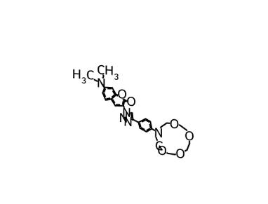 CCN(CC)c1ccc2cc(-n3cc(-c4ccc(N5CCOCCOCCOCCOCC5)cc4)nn3)c(=O)oc2c1